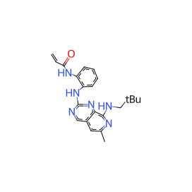 C=CC(=O)Nc1ccccc1Nc1ncc2cc(C)nc(NCC(C)(C)C)c2n1